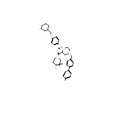 NC1CCN(C(=O)C2CN(Cc3ccc(-c4ccc(Cl)cc4)cc3)CCN2S(=O)(=O)c2ccc(OCC3CCCCC3)cc2)CC1(F)F